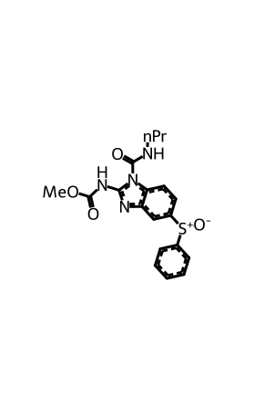 CCCNC(=O)n1c(NC(=O)OC)nc2cc([S+]([O-])c3ccccc3)ccc21